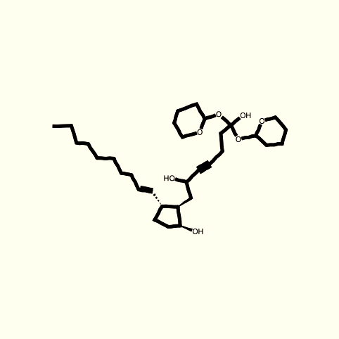 CCCCCCCCC=C[C@H]1CC[C@H](O)[C@@H]1CC(O)C#CCCC(O)(OC1CCCCO1)OC1CCCCO1